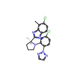 Cc1c(Cl)ccc2[nH]c([C@]3(C)CCCN3c3cc(Cl)c[c]c3-n3nccn3)nc12